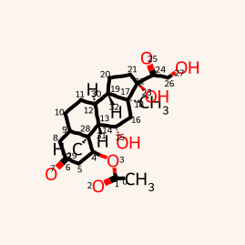 CC(=O)OC1CC(=O)CC2CC[C@@H]3[C@H]([C@@H](O)C[C@@]4(C)[C@H]3CC[C@]4(O)C(=O)CO)[C@]21C